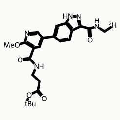 [2H]CNC(=O)c1n[nH]c2cc(-c3cnc(OC)c(C(=O)NCCC(=O)OC(C)(C)C)c3)ccc12